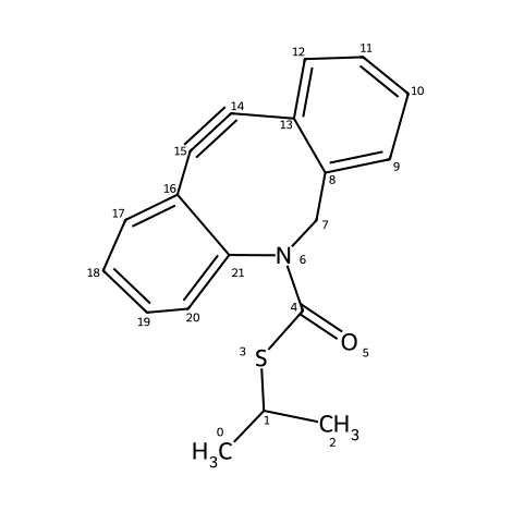 CC(C)SC(=O)N1Cc2ccccc2C#Cc2ccccc21